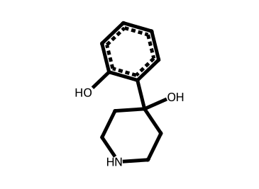 Oc1ccccc1C1(O)CCNCC1